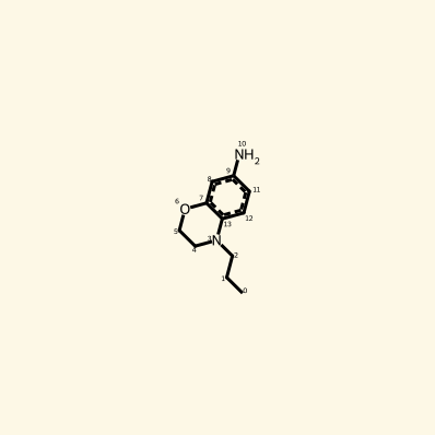 CCCN1CCOc2cc(N)ccc21